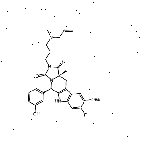 C=CCN(C)CCCN1C(=O)N2[C@H](c3cccc(O)c3)c3[nH]c4cc(F)c(OC)cc4c3C[C@@]2(C)C1=O